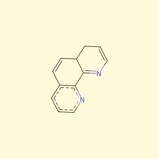 C1=CN=C2c3ncccc3C=CC2C1